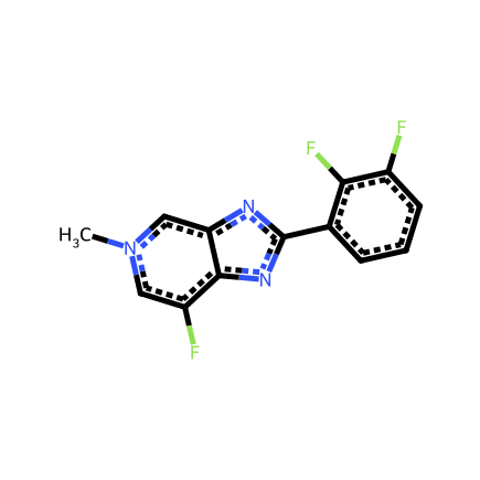 Cn1cc2nc(-c3cccc(F)c3F)nc-2c(F)c1